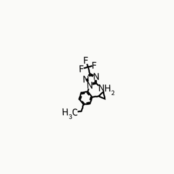 CCc1ccc(-n2nc(C(F)(F)F)nc2N)c(C2CC2)c1